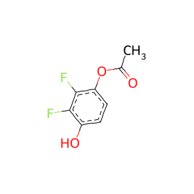 CC(=O)Oc1ccc(O)c(F)c1F